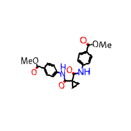 COC(=O)c1ccc(NC(=O)C2(C(=O)Nc3ccc(C(=O)OC)cc3)CC2)cc1